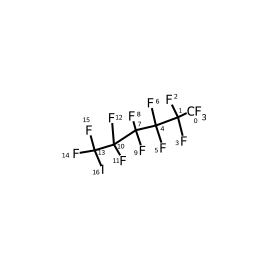 FC(F)(F)C(F)(F)C(F)(F)C(F)(F)C(F)(F)C(F)(F)I